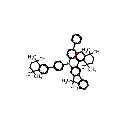 CC1(C)CCC(C)(C)c2cc(-c3ccc(N(c4ccc(-c5ccccc5)cc4)c4cc5c(cc4-c4cccc6c4C(C)(C)CCC6(C)C)-c4ccccc4C5(C)C)cc3)ccc21